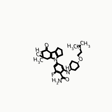 CN(C)CCO[C@H]1CC[C@H](Nc2cc(-n3c4c(c5c3CC(C)(C)CC5=O)CCC4)cc(F)c2C(N)=O)CC1